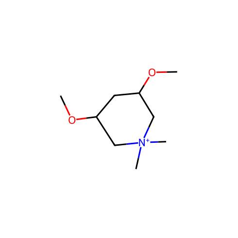 COC1CC(OC)C[N+](C)(C)C1